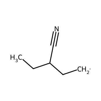 [CH2]CC(C#N)CC